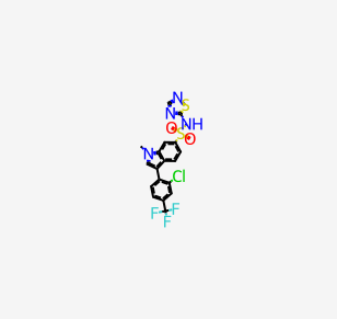 Cn1cc(-c2ccc(C(F)(F)F)cc2Cl)c2ccc(S(=O)(=O)Nc3ncns3)cc21